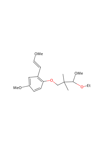 CCOC(OC)C(C)(C)COc1ccc(OC)cc1C=COC